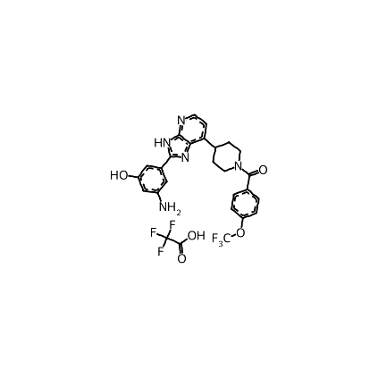 Nc1cc(O)cc(-c2nc3c(C4CCN(C(=O)c5ccc(OC(F)(F)F)cc5)CC4)ccnc3[nH]2)c1.O=C(O)C(F)(F)F